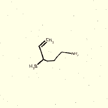 BC(C=C)CCN